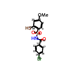 COc1ccc(S(=O)(=O)NC(=O)c2ccc(Br)cc2)c(S)c1